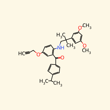 C#CCOc1ccc(NCC(C)(C)c2cc(OC)cc(OC)c2)c(C(=O)c2ccc(C(C)C)cc2)c1